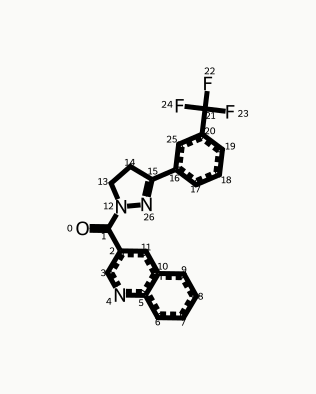 O=C(c1cnc2ccccc2c1)N1CCC(c2cccc(C(F)(F)F)c2)=N1